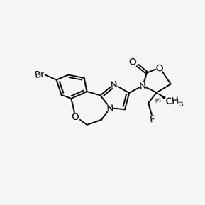 C[C@]1(CF)COC(=O)N1c1cn2c(n1)-c1ccc(Br)cc1OCC2